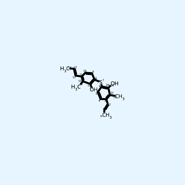 CC=Cc1ccc(Sc2ccc(C=CC)c(C)c2O)c(O)c1C